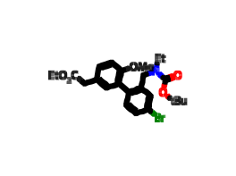 CCOC(=O)Cc1ccc(OC)c(-c2ccc(Br)cc2CN(CC)C(=O)OC(C)(C)C)c1